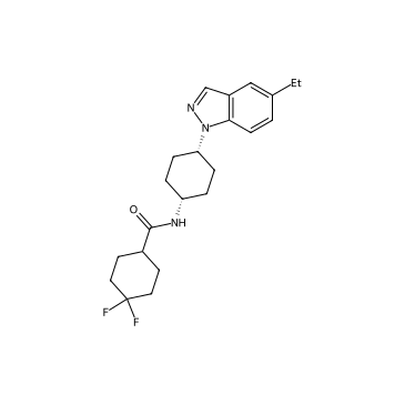 CCc1ccc2c(cnn2[C@H]2CC[C@@H](NC(=O)C3CCC(F)(F)CC3)CC2)c1